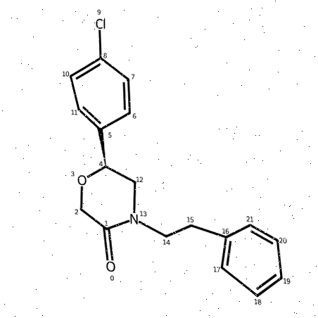 O=C1CO[C@@H](c2ccc(Cl)cc2)CN1CCc1ccccc1